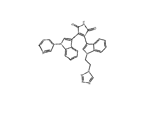 O=C1NC(=O)C(c2cn(-c3cccnc3)c3ccccc23)=C1c1cn(CCn2cnnn2)c2ccccc12